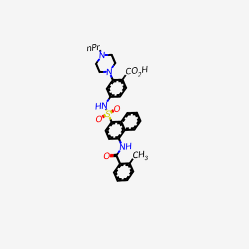 CCCN1CCN(c2cc(NS(=O)(=O)c3ccc(NC(=O)c4ccccc4C)c4ccccc34)ccc2C(=O)O)CC1